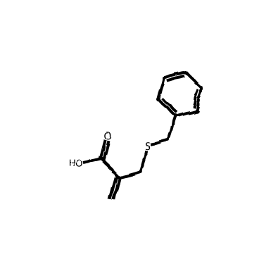 C=C(CSCc1ccccc1)C(=O)O